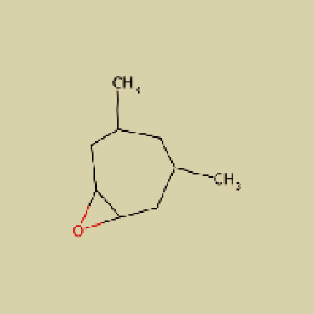 CC1CC(C)CC2OC2C1